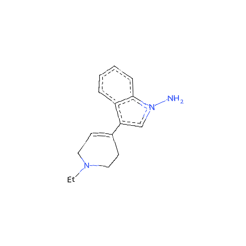 CCN1CC=C(c2cn(N)c3ccccc23)CC1